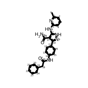 Cc1cccc(Nc2[nH]nc(-c3ccc(NC(=O)Cc4ccccc4)cc3)c2C(N)=O)n1